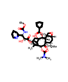 CO[C@H]1C[C@H]2OC[C@@]2(OC(C)=O)[C@H]2[C@H](OC(=O)c3ccccc3)[C@]3(O)C[C@H](OC(=O)[C@H](O)[C@@H](NC(=O)OC(C)(C)C)c4ccccn4)C(C)=C([C@@H](OC(=O)N(C)C)C(=O)[C@]12C)C3(C)C